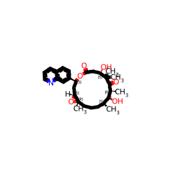 C[C@H]1CCC[C@@]2(C)O[C@H]2C[C@@H](c2ccc3cccnc3c2)OC(=O)C[C@H](O)C(C)(C)C(=O)[C@H](C)[C@H]1O